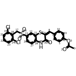 CC(=O)Oc1ccc(/C=C2/Sc3cc(S(=O)(=O)Cc4c(Cl)cccc4Cl)ccc3NC2=O)cc1